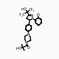 CC(C)(O)C(=O)N1CCN(c2ccc(C3CC(C(O)(C(F)(F)F)C(F)(F)F)=NN3c3ccccc3Cl)cc2)CC1